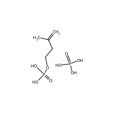 C=C(C)CCOP(=O)(O)O.O=P(O)(O)O